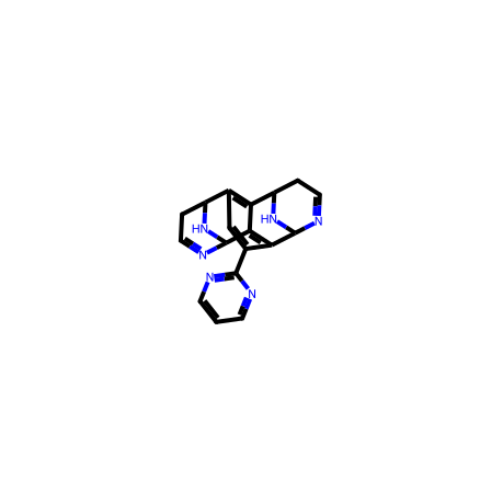 C1=NC2NC(C1)c1c3cc(-c4ncccn4)c2c1C1N=CCC3N1